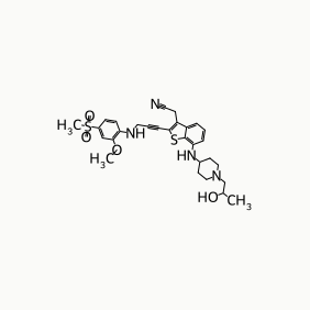 COc1cc(S(C)(=O)=O)ccc1NCC#Cc1sc2c(NC3CCN(CC(C)O)CC3)cccc2c1CC#N